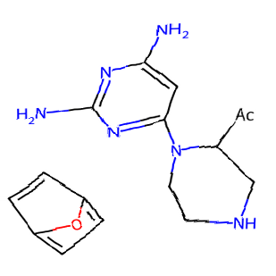 CC(=O)C1CNCCN1c1cc(N)nc(N)n1.c1cc2ccc1o2